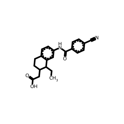 CCC1c2cc(NC(=O)c3ccc(C#N)cc3)ccc2CCC1CC(=O)O